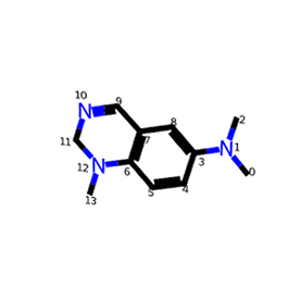 CN(C)c1ccc2c(c1)C=NCN2C